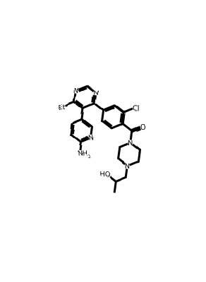 CCc1ncnc(-c2ccc(C(=O)N3CCN(CC(C)O)CC3)c(Cl)c2)c1-c1ccc(N)nc1